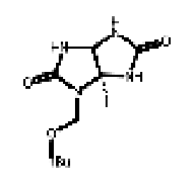 CCCCOCN1C(=O)NC2NC(=O)N[C@H]21